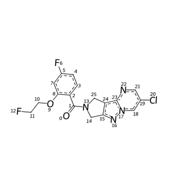 O=C(c1ccc(F)cc1OCCF)N1Cc2nn3cc(Cl)cnc3c2C1